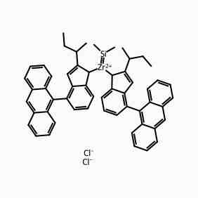 CCC(C)C1=Cc2c(-c3c4ccccc4cc4ccccc34)cccc2[CH]1[Zr+2]([CH]1C(C(C)CC)=Cc2c(-c3c4ccccc4cc4ccccc34)cccc21)=[Si](C)C.[Cl-].[Cl-]